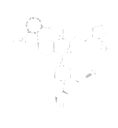 C=CC(=O)N1CCN(C2NC(OC[C@H]3CCCN3C)NC3C[C@]4(CCC32)CN(C)c2cccc(F)c24)C[C@H]1CC#N